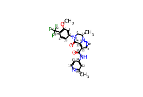 COc1cc(N2C[C@H](C)n3ncc(C(=O)Nc4ccnc(C)c4)c3C2=O)ccc1C(F)(F)F